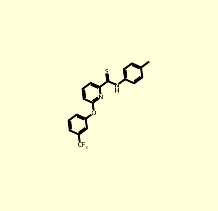 Cc1ccc(NC(=S)c2cccc(Oc3cccc(C(F)(F)F)c3)n2)cc1